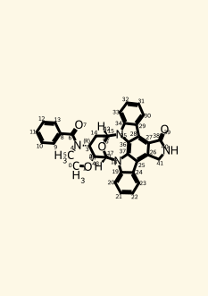 CO[C@@H]1[C@H](N(C)C(=O)c2ccccc2)C[C@H]2O[C@@H]1n1c3ccccc3c3c4c(c5c6ccccc6n2c5c31)C(=O)NC4